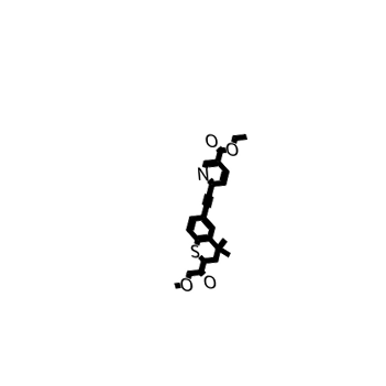 CCOC(=O)c1ccc(C#Cc2ccc3c(c2)C(C)(C)CC(C(=O)COC)S3)nc1